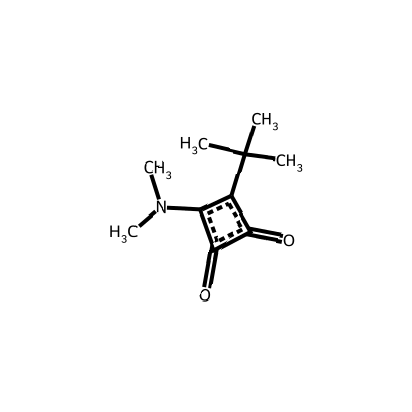 CN(C)c1c(C(C)(C)C)c(=O)c1=O